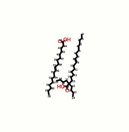 CCCCCCCCC=CCCCCCCC(CCCC)(CCCC)C(=O)O.CCCCCCCCC=CCCCCCCCC(=O)O